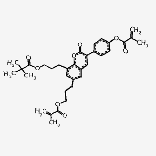 C=C(C)C(=O)OCCCc1cc(CCCOC(=O)C(C)(C)C)c2oc(=O)c(-c3ccc(OC(=O)C(=C)C)cc3)cc2c1